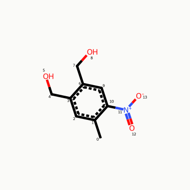 Cc1cc(CO)c(CO)cc1[N+](=O)[O-]